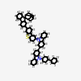 c1ccc(-c2ccc(-n3c4ccccc4c4ccc(-c5ccc6c7ccccc7n(-c7ccc8sc9cc(-c%10ccc%11c(c%10)C%10(c%12ccccc%12-%11)C%11CC%12CC(C%11)CC%10C%12)ccc9c8c7)c6c5)cc43)cc2)cc1